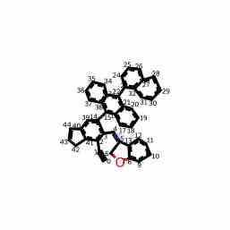 C#Cc1c(/C=C2\COc3ccccc32)c(-c2c3ccccc3c(-c3cccc4ccccc34)c3ccccc23)cc2c1CC=C2